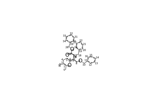 CC1=C(I)CC[C@@H]([C@H](COCc2ccccc2)N(Cc2ccccc2)C(=O)OCc2ccccc2)O1